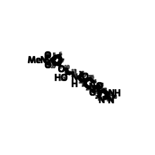 CNS(=O)(=O)c1cccc(OC[C@@H](O)CNC2COC3(CCN(S(=O)(=O)c4cnc5nc[nH]c5c4)CC3)C2)c1